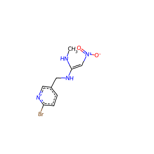 CNC(=C[N+](=O)[O-])NCc1ccc(Br)nc1